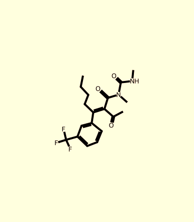 CCCC/C(=C(/C(C)=O)C(=O)N(C)C(=O)NC)c1cccc(C(F)(F)F)c1